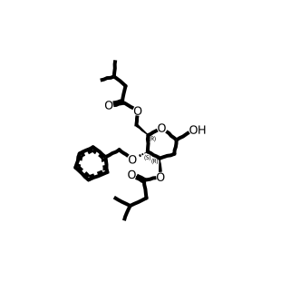 CC(C)CC(=O)OC[C@H]1OC(O)C[C@@H](OC(=O)CC(C)C)[C@@H]1OCc1ccccc1